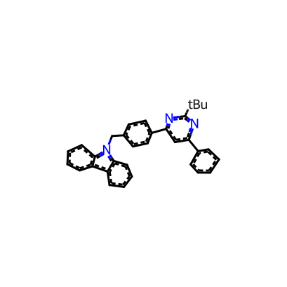 CC(C)(C)c1nc(-c2ccccc2)cc(-c2ccc(Cn3c4ccccc4c4ccccc43)cc2)n1